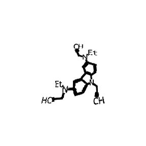 C#CCN(CC)c1ccc2c(c1)c1cc(N(CC)CC#C)ccc1n2CC#C